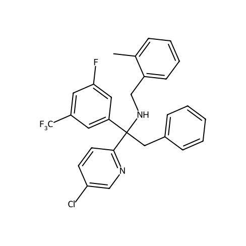 Cc1ccccc1CNC(Cc1ccccc1)(c1cc(F)cc(C(F)(F)F)c1)c1ccc(Cl)cn1